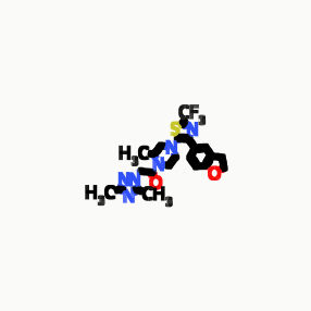 Cc1nc(C)n(CC(=O)N2CCN(c3sc(C(F)(F)F)nc3-c3ccc4c(c3)CCO4)CC2C)n1